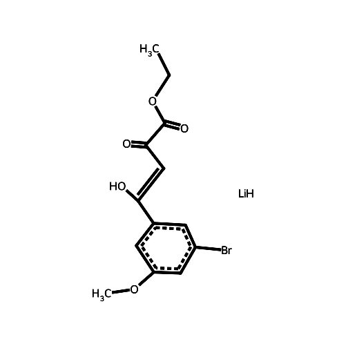 CCOC(=O)C(=O)C=C(O)c1cc(Br)cc(OC)c1.[LiH]